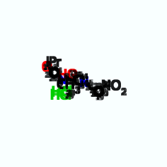 CC(C)Oc1ccc(N(C)CCC2(O)CCN(CCc3cccc([N+](=O)[O-])c3)CC2)cc1.Cl.Cl